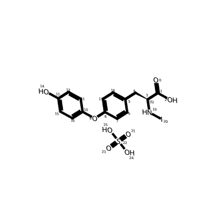 O=C(O)[C@H](Cc1ccc(Oc2ccc(O)cc2)cc1)NI.O=S(=O)(O)O